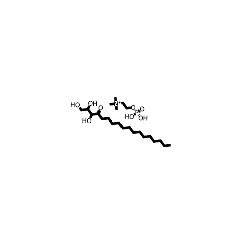 CCCCCCCCCCCCCCC(=O)C(O)C(O)CO.C[N+](C)(C)CCOP(=O)(O)O